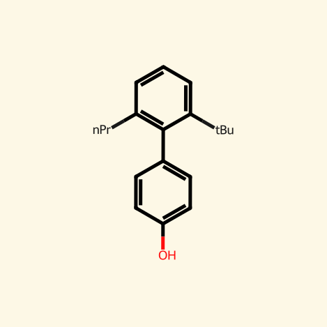 CCCc1cccc(C(C)(C)C)c1-c1ccc(O)cc1